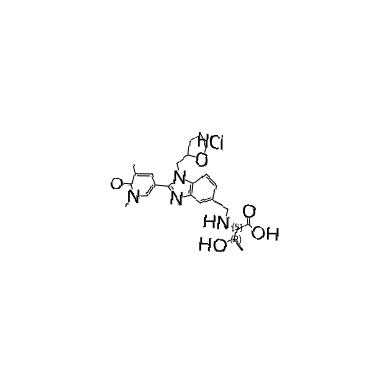 Cc1cc(-c2nc3cc(CN[C@H](C(=O)O)[C@@H](C)O)ccc3n2CC2CCCO2)cn(C)c1=O.Cl